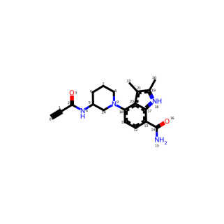 C#CC(=O)NC1CCCN(c2ccc(C(N)=O)c3[nH]c(C)c(C)c23)C1